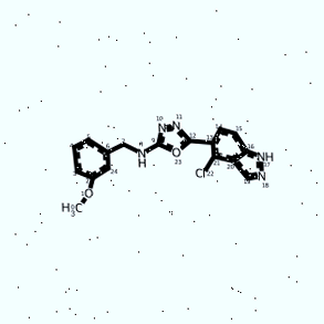 COc1cccc(CNc2nnc(-c3ccc4[nH]ncc4c3Cl)o2)c1